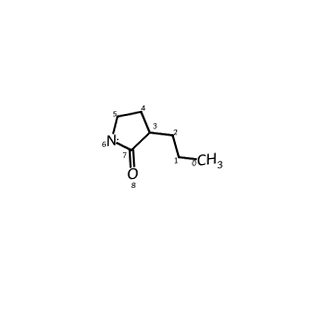 CCCC1CC[N]C1=O